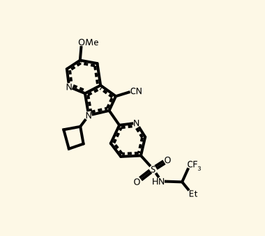 CCC(NS(=O)(=O)c1ccc(-c2c(C#N)c3cc(OC)cnc3n2C2CCC2)nc1)C(F)(F)F